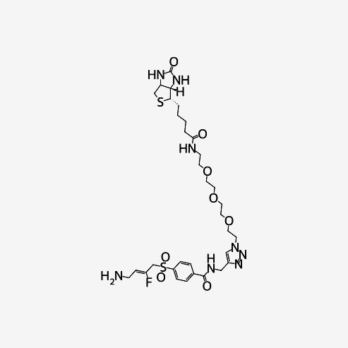 NC/C=C(\F)CS(=O)(=O)c1ccc(C(=O)NCc2cn(CCOCCOCCOCCNC(=O)CCCC[C@@H]3SCC4NC(=O)N[C@@H]43)nn2)cc1